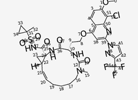 COc1ccc2c(OCC[C@@H]3NC(=O)N(C)CCCC/C=C\[C@@H]4C[C@@]4(C(=O)NS(=O)(=O)C4(C)CC4)NC3=O)cc(-n3ccc(C(F)(F)F)n3)nc2c1Cl